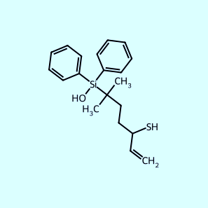 C=CC(S)CCC(C)(C)[Si](O)(c1ccccc1)c1ccccc1